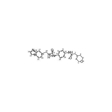 O=C(CC1CCOCC1)Nc1ccc(NC(=O)NCc2ccn3ccnc3c2)cc1